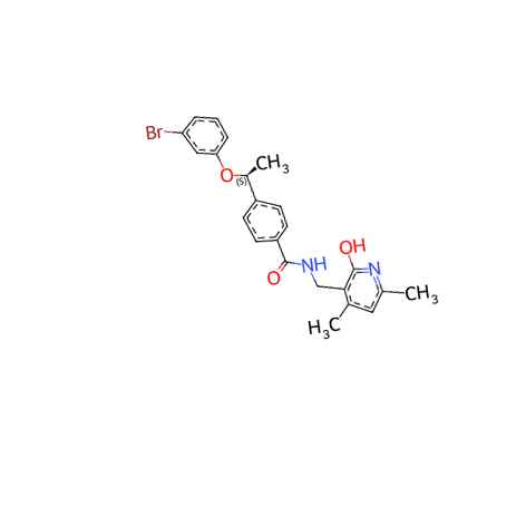 Cc1cc(C)c(CNC(=O)c2ccc([C@H](C)Oc3cccc(Br)c3)cc2)c(O)n1